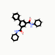 O=C(NC1CCCCC1)c1cc(C(=O)NC2CCCCC2)cc(-c2ccccc2)c1